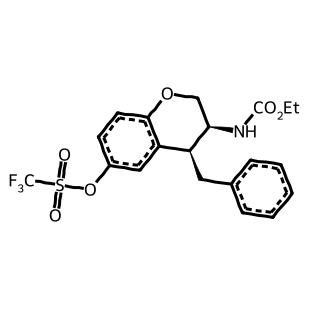 CCOC(=O)N[C@@H]1COc2ccc(OS(=O)(=O)C(F)(F)F)cc2[C@@H]1Cc1ccccc1